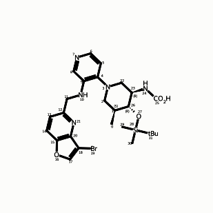 C[C@H]1CN(c2ccncc2NCc2ccc3occ(Br)c3n2)C[C@@H](NC(=O)O)[C@@H]1O[Si](C)(C)C(C)(C)C